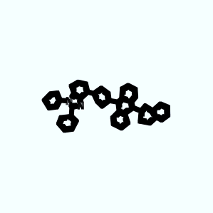 c1ccc(-c2nc3c(-c4ccc(-c5c6ccccc6c(-c6ccc7ccccc7c6)c6ccccc56)cc4)cccc3n2-c2ccccc2)cc1